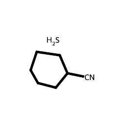 N#CC1CCCCC1.S